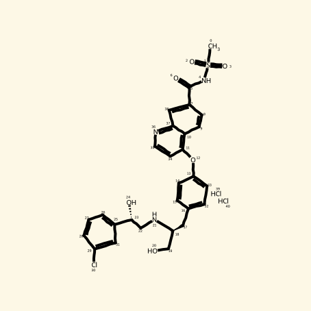 CS(=O)(=O)NC(=O)c1ccc2c(Oc3ccc(C[C@@H](CO)NC[C@@H](O)c4cccc(Cl)c4)cc3)ccnc2c1.Cl.Cl